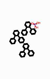 OP(O)O.c1ccc(-c2ccccc2-c2ccccc2)cc1.c1ccc(-c2ccccc2-c2ccccc2)cc1.c1ccc(-c2ccccc2-c2ccccc2)cc1